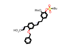 CCCCS(=O)(=O)Oc1ccc(C/C=C/c2ccc(/C=C/C(=O)O)c(OCc3ccccc3)c2)cc1OC